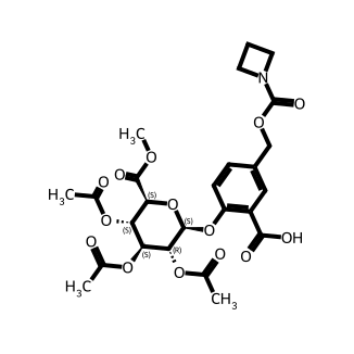 COC(=O)[C@H]1O[C@@H](Oc2ccc(COC(=O)N3CCC3)cc2C(=O)O)[C@H](OC(C)=O)[C@@H](OC(C)=O)[C@@H]1OC(C)=O